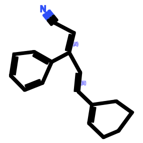 N#C/C=C(/C=C/C1=CCCCC1)c1ccccc1